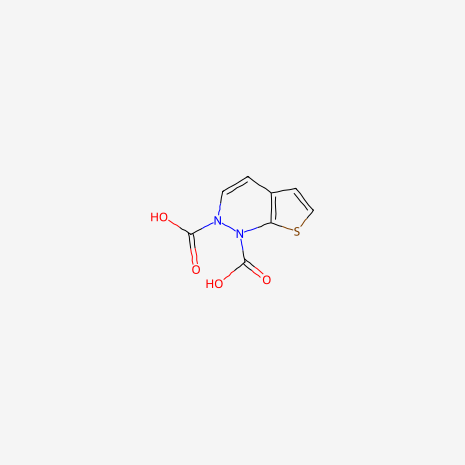 O=C(O)N1C=Cc2ccsc2N1C(=O)O